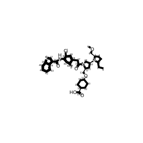 CCC1CC[C@H](COC)N1[C@H]1C[C@@H](CO[C@H]2CC[C@H](C(=O)O)CC2)N(C(=O)Cc2cc(Cl)c(NC(=O)c3csc4ccccc34)cc2F)C1